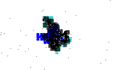 CC1CC(F)(F)CN(C(=O)c2cc(F)ccc2C(=N)N=N)[C@@H]1CNc1ncc(C(F)(F)F)cn1